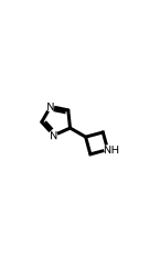 C1=NC=NC1C1CNC1